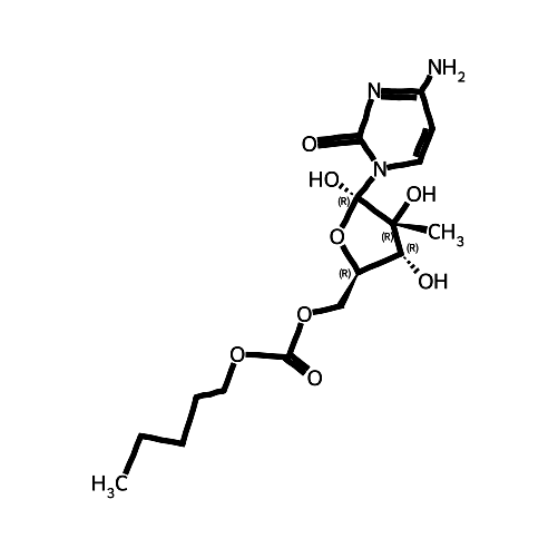 CCCCCOC(=O)OC[C@H]1O[C@@](O)(n2ccc(N)nc2=O)[C@](C)(O)[C@@H]1O